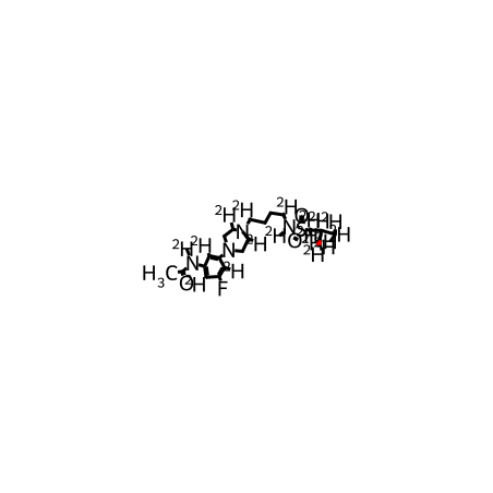 [2H]c1c(F)c([2H])c(N([2H])C(C)=O)c([2H])c1N1CC([2H])N(C([2H])CCC([2H])N([2H])S(=O)(=O)C([2H])([2H])C([2H])(C([2H])([2H])[2H])C([2H])([2H])[2H])C([2H])C1